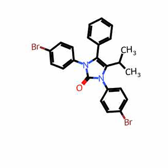 CC(C)c1c(-c2ccccc2)n(-c2ccc(Br)cc2)c(=O)n1-c1ccc(Br)cc1